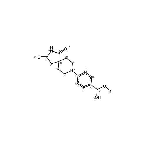 COC(O)c1ccc(N2CCC3(CC2)CC(=O)NC3=O)nc1